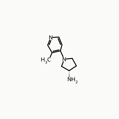 Cc1cnccc1N1CC[C@H](N)C1